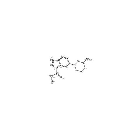 CNC1CCCN(c2cnc3[nH]cc(C(=O)NC(C)C)c3n2)C1